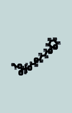 CCOC(=O)C(C)(C)OCCOCCCCOC1CCCCO1